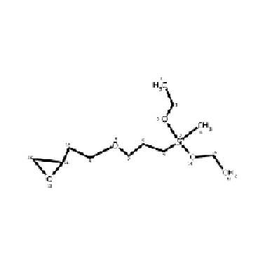 CCO[Si](C)(CCCOCCC1CO1)OCC